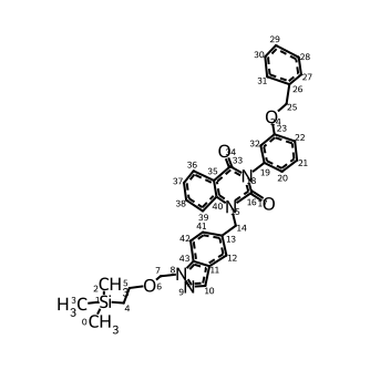 C[Si](C)(C)CCOCn1ncc2cc(Cn3c(=O)n(-c4cccc(OCc5ccccc5)c4)c(=O)c4ccccc43)ccc21